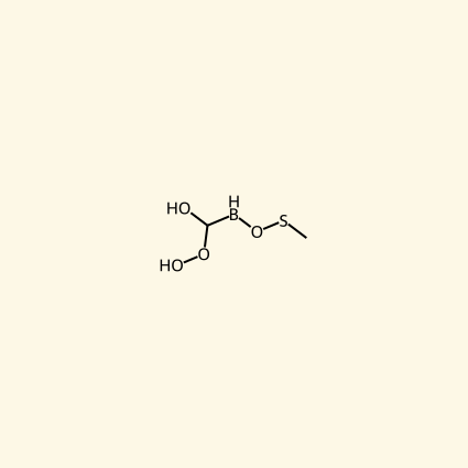 CSOBC(O)OO